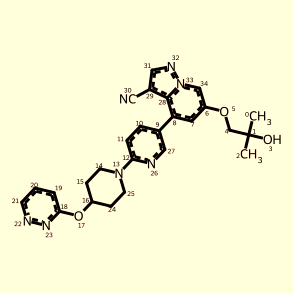 CC(C)(O)COc1cc(-c2ccc(N3CCC(Oc4cccnn4)CC3)nc2)c2c(C#N)cnn2c1